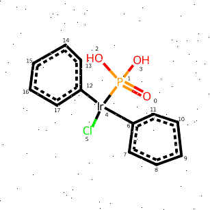 O=[P](O)(O)[Ir]([Cl])([c]1ccccc1)[c]1ccccc1